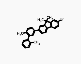 Cc1ccccc1-c1cc(-c2ccc3c(c2)C(C)(C)c2cc(Br)ccc2-3)ccc1C